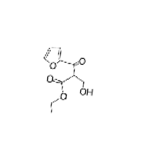 CCOC(=O)C(CO)C(=O)c1ccco1